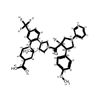 CC[C@H]1CN(C(=O)[C@]2(F)CN(c3cccnc3)C[C@H]2c2ccc(OC)cc2)C[C@@H]1c1ccc(C(F)(F)F)cc1N1CCC(C(=O)O)CC1